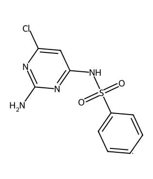 Nc1nc(Cl)cc(NS(=O)(=O)c2cc[c]cc2)n1